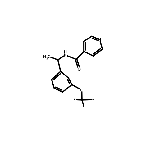 CC(NC(=O)c1ccncc1)c1cccc(OC(F)(F)F)c1